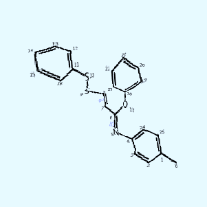 Cc1ccc(/N=C(/C=C/SSc2ccccc2)Oc2ccccc2)cc1